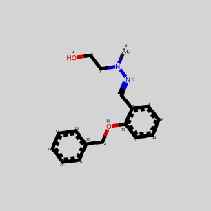 CC(=O)N(CCO)N=Cc1ccccc1OCc1ccccc1